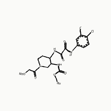 COCC(=O)N1CCC(NC(=O)C(=O)Nc2ccc(Cl)c(F)c2)C(NC(=O)OC(C)(C)C)C1